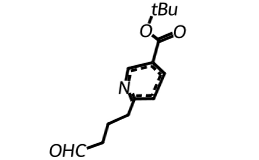 CC(C)(C)OC(=O)c1ccc(CCCC=O)nc1